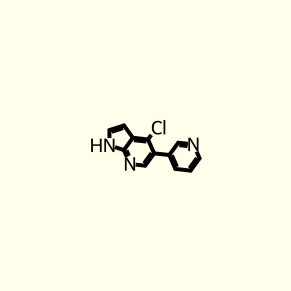 Clc1c(-c2cccnc2)cnc2[nH]ccc12